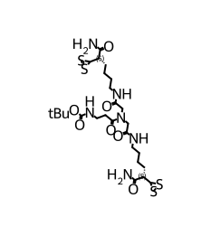 CC(C)(C)OC(=O)NCCC(=O)N(CC(=O)NCCCC[C@@H](C(N)=O)C1SS1)CC(=O)NCCCC[C@@H](C(N)=O)C1SS1